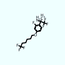 C[C@](N)(c1ccc(OCCCCCC(F)(F)F)cc1F)C(F)(F)F